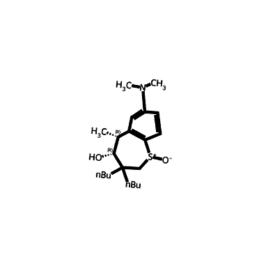 CCCCC1(CCCC)C[S+]([O-])c2ccc(N(C)C)cc2[C@@H](C)[C@H]1O